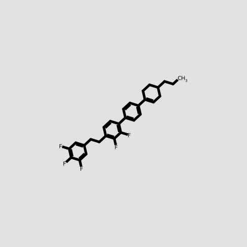 CCCC1CC=C(c2ccc(-c3ccc(CCc4cc(F)c(F)c(F)c4)c(F)c3F)cc2)CC1